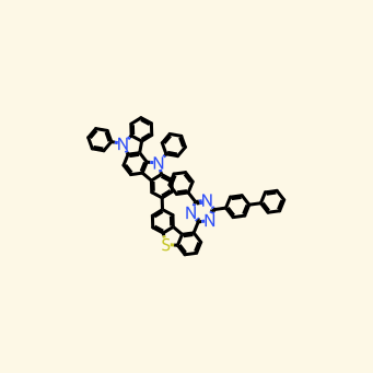 c1ccc(-c2ccc(-c3nc(-c4ccccc4)nc(-c4cccc5sc6ccc(-c7ccc8c(c7)c7ccc9c(c%10ccccc%10n9-c9ccccc9)c7n8-c7ccccc7)cc6c45)n3)cc2)cc1